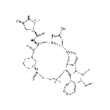 CCn1c(-c2cccnc2[C@H](C)OC)c2c3cc(ccc31)-c1cc(O)cc(c1)C[C@H](NC(=O)[C@H]1CC(=O)N[C@@H]1C)C(=O)N1CCC[C@H](N1)C(=O)OCC(C)(C)C2